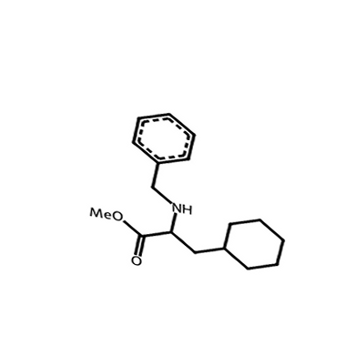 COC(=O)C(CC1CCCCC1)NCc1ccccc1